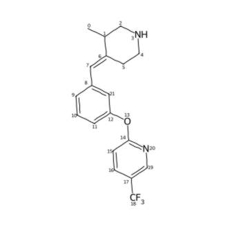 CC1CNCCC1=Cc1cccc(Oc2ccc(C(F)(F)F)cn2)c1